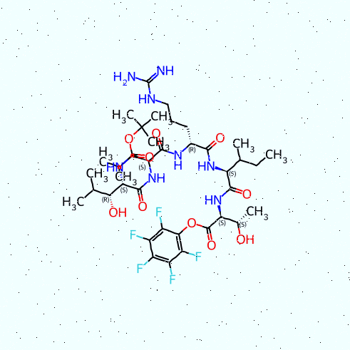 CCC(C)[C@H](NC(=O)[C@@H](CCCNC(=N)N)NC(=O)[C@H](CC(C)C)NC(=O)[C@@H](NC(=O)OC(C)(C)C)[C@H](O)C(C)C)C(=O)N[C@H](C(=O)Oc1c(F)c(F)c(F)c(F)c1F)[C@H](C)O